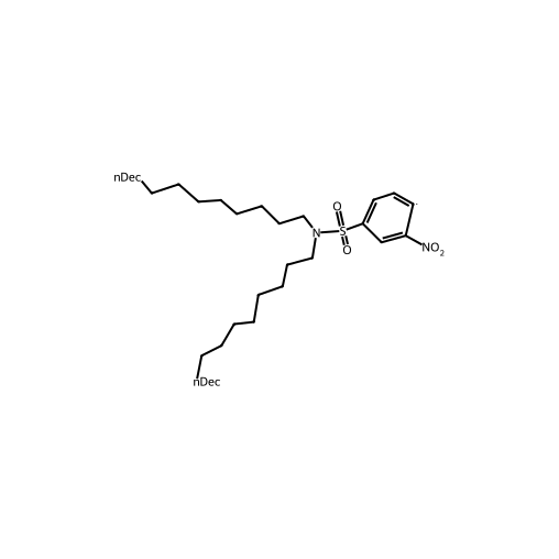 CCCCCCCCCCCCCCCCCCN(CCCCCCCCCCCCCCCCCC)S(=O)(=O)c1cc[c]c([N+](=O)[O-])c1